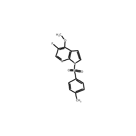 COc1c(F)cnc2c1ccn2S(=O)(=O)c1ccc(C)cc1